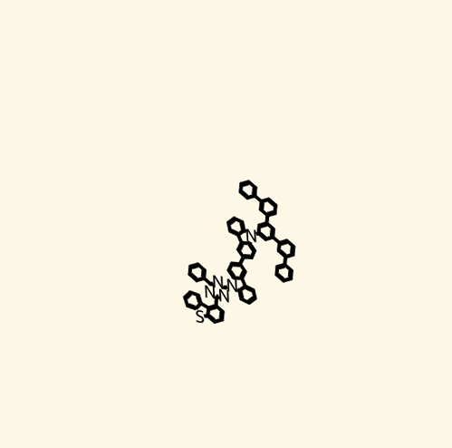 c1ccc(-c2cccc(-c3cc(-c4cccc(-c5ccccc5)c4)cc(-n4c5ccccc5c5cc(-c6ccc7c(c6)c6ccccc6n7-c6nc(-c7ccccc7)nc(-c7cccc8sc9ccccc9c78)n6)ccc54)c3)c2)cc1